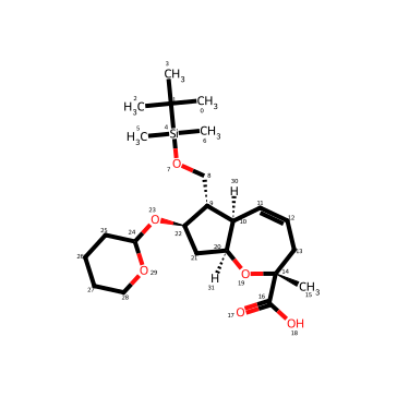 CC(C)(C)[Si](C)(C)OC[C@@H]1[C@H]2C=CC[C@](C)(C(=O)O)O[C@H]2C[C@H]1OC1CCCCO1